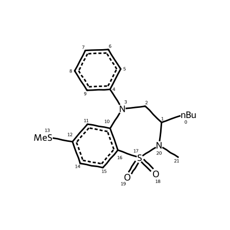 CCCCC1CN(c2ccccc2)c2cc(SC)ccc2S(=O)(=O)N1C